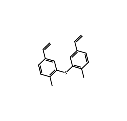 C=Cc1ccc(C)c(Sc2cc(C=C)ccc2C)c1